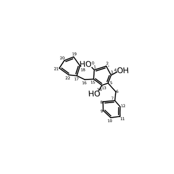 Oc1[c]c(O)c(Cc2ccccc2)c(O)c1Cc1ccccc1